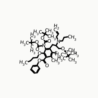 C=CCN(CCC)C(CO[Si](C)(C)C(C)(C)C)Cc1c(F)c(C)c(C(=O)Oc2ccccc2)c(OCCCC)c1N(C(=O)OC(C)(C)C)C(=O)OC(C)(C)C